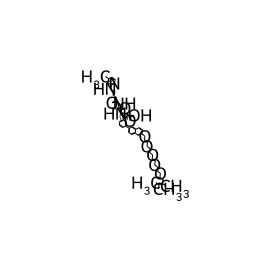 Cc1ccnc(NCCCC(=O)NCC(=O)N[C@@H](CC(=O)O)c2cccc(-c3ccc4cc(OCCOCCOCCOCCOCCC(C)C(C)C)ccc4c3)c2)c1